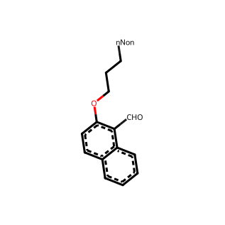 CCCCCCCCCCCCOc1ccc2ccccc2c1C=O